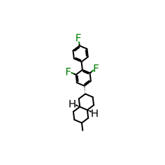 CC1CC[C@@H]2C[C@H](c3cc(F)c(-c4ccc(F)cc4)c(F)c3)CC[C@@H]2C1